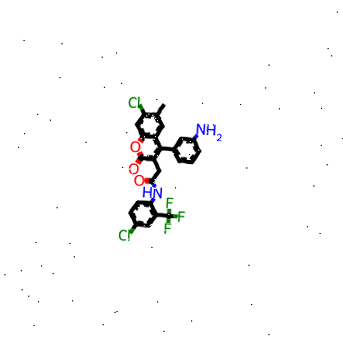 Cc1cc2c(-c3cccc(N)c3)c(CC(=O)Nc3ccc(Cl)cc3C(F)(F)F)c(=O)oc2cc1Cl